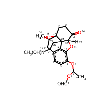 CC(OC=O)Oc1ccc2c3c1O[C@H]1C(=O)CC[C@@](O)([C@H](C)C2)[C@@]31CCN(C)O